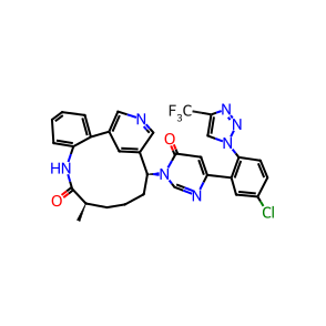 C[C@@H]1CCC[C@H](n2cnc(-c3cc(Cl)ccc3-n3cc(C(F)(F)F)nn3)cc2=O)c2cncc(c2)-c2ccccc2NC1=O